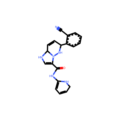 N#Cc1ccccc1C1C=CC2NC=C(C(=O)NC3=CC=CCN3)N2N1